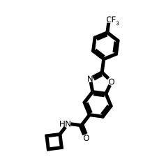 O=C(NC1CCC1)c1ccc2oc(-c3ccc(C(F)(F)F)cc3)nc2c1